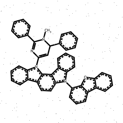 CN1C(c2ccccc2)=NC(n2c3ccccc3c3ccc4c(c5ccccc5n4-c4cccc5c4oc4ccccc45)c32)=CC1c1ccccc1